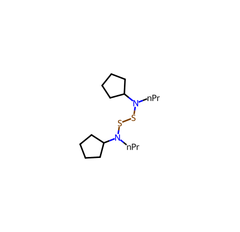 CCCN(SSN(CCC)C1CCCC1)C1CCCC1